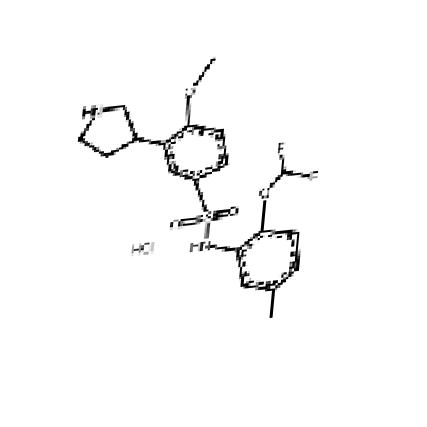 COc1ccc(S(=O)(=O)Nc2cc(C)ccc2OC(F)F)cc1C1CCNC1.Cl